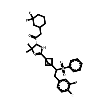 CC1(C)N=C(C23CC(C(Cc4ccc(Cl)c(F)c4)S(=O)(=O)c4ccccc4)(C2)C3)N[C@H]1C(=O)CC1CCCC(F)(F)C1